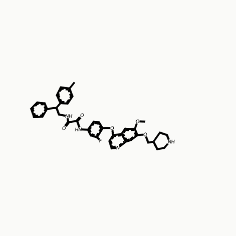 COc1cc2c(Oc3ccc(NC(=O)C(=O)NCC(c4ccccc4)c4ccc(C)cc4)cc3F)ccnc2cc1OCC1CCNCC1